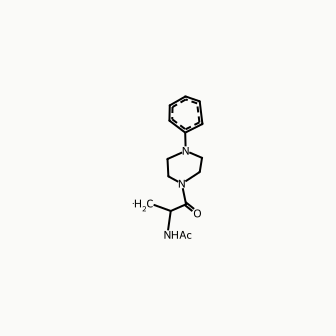 [CH2]C(NC(C)=O)C(=O)N1CCN(c2ccccc2)CC1